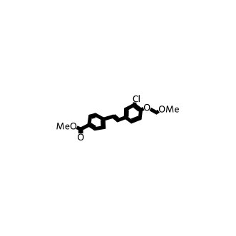 COCOc1ccc(/C=C/c2ccc(C(=O)OC)cc2)cc1Cl